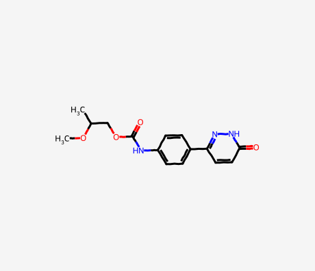 COC(C)COC(=O)Nc1ccc(-c2ccc(=O)[nH]n2)cc1